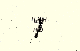 Cc1nc(NC(=N)N)sc1-c1ccc(C(=O)NCCCCN2CCCC2)cc1